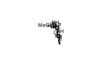 C#CCOc1cnc(C(=O)Nc2cc(F)c(F)c([C@@]3(C)N=C(N)S[C@H](COC)[C@H]3C)c2)cn1